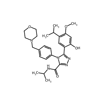 COc1cc(O)c(-c2nnc(C(=O)NC(C)C)n2-c2ccc(CN3CCOCC3)cc2)cc1C(C)C